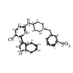 O=[N+]([O-])c1cccc(CN2CCC(Nc3ncc(Cl)c(-c4c[nH]c5ccccc45)n3)CC2)c1